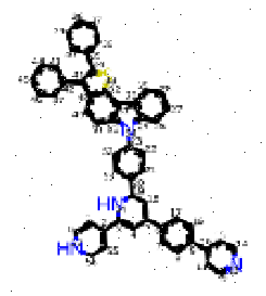 C1=CC(C2=CC(c3ccc(-c4ccncc4)cc3)=CC(c3ccc(-n4c5ccccc5c5c6sc(-c7ccccc7)c(-c7ccccc7)c6ccc54)cc3)N2)=CCN1